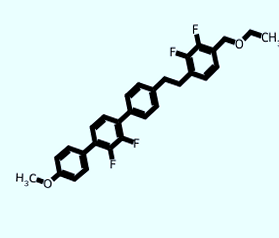 CCOCc1ccc(CCc2ccc(-c3ccc(-c4ccc(OC)cc4)c(F)c3F)cc2)c(F)c1F